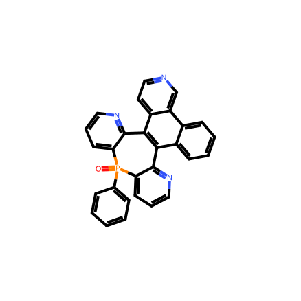 O=P1(c2ccccc2)c2cccnc2-c2c(c3ccncc3c3ccccc23)-c2ncccc21